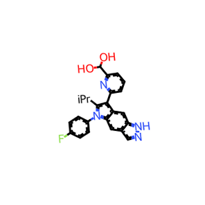 CC(C)c1c(-c2cccc(C(O)O)n2)c2cc3[nH]ncc3cc2n1-c1ccc(F)cc1